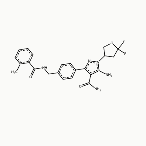 Cc1ccccc1C(=O)NCc1ccc(-c2nn(C3COC(F)(F)C3)c(N)c2C(N)=O)cc1